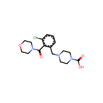 O=C(O)N1CCN(Cc2cccc(Cl)c2C(=O)N2CCOCC2)CC1